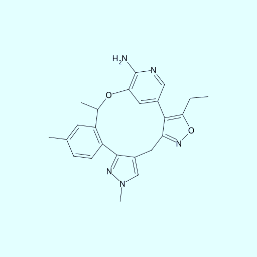 CCc1onc2c1-c1cnc(N)c(c1)OC(C)c1cc(C)ccc1-c1nn(C)cc1C2